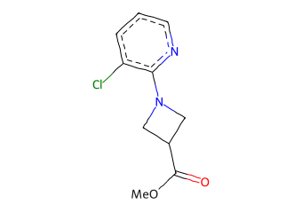 COC(=O)C1CN(c2ncccc2Cl)C1